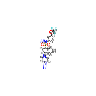 O=S(=O)(Nc1cccc(OC(F)(F)F)c1)c1ccc(N2CCNCC2)c2ccccc12